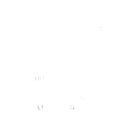 CCc1noc(-c2ccc(Br)cc2)c1C(=O)O